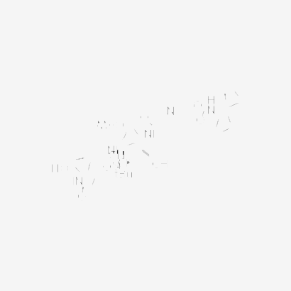 CC#Cc1cc(CNC[C@H](O[Si](C)(C)C(C)(C)C)c2ccc(O)c3[nH]c(=O)ccc23)c(OC)cc1NC(=O)CCN1CCC(OC(=O)Nc2ccccc2-c2ccccc2)CC1